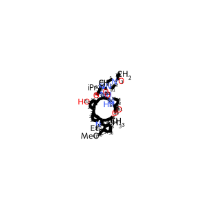 C=CC(=O)N1CCN(C(=O)N(C)[C@H](C(=O)N[C@H]2Cc3cc(O)cc(c3)-c3ccc4c(c3)c(c(-c3ccccc3CCOC)n4CC)CC(C)(C)COC(=O)[C@@H]3CCCN(N3)C2=O)C(C)C)CC1